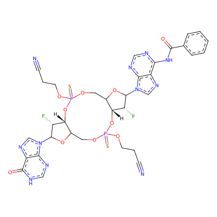 N#CCCOP1(=S)OCC2OC(n3cnc4c(=O)[nH]cnc43)[C@H](F)[C@@H]2OP(=S)(OCCC#N)OCC2OC(n3cnc4c(NC(=O)c5ccccc5)ncnc43)[C@H](F)[C@@H]2O1